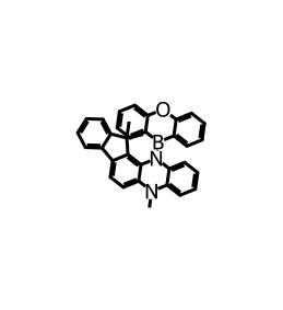 CN1c2ccccc2N(B2c3ccccc3Oc3ccccc32)c2c1ccc1c2C(C)(C)c2ccccc2-1